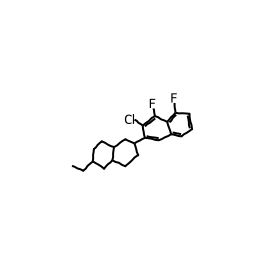 CCC1CCC2CC(c3cc4cccc(F)c4c(F)c3Cl)CCC2C1